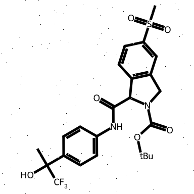 CC(C)(C)OC(=O)N1Cc2cc(S(C)(=O)=O)ccc2C1C(=O)Nc1ccc(C(C)(O)C(F)(F)F)cc1